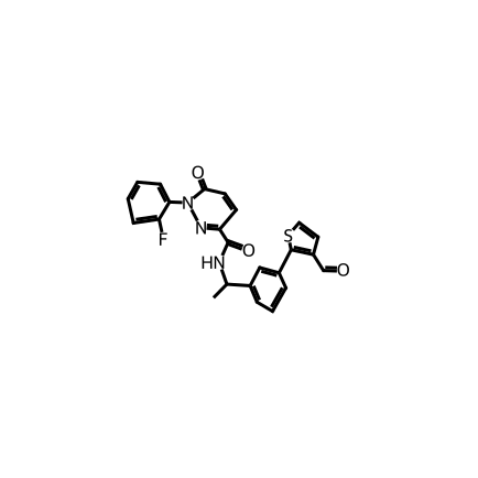 CC(NC(=O)c1ccc(=O)n(-c2ccccc2F)n1)c1cccc(-c2sccc2C=O)c1